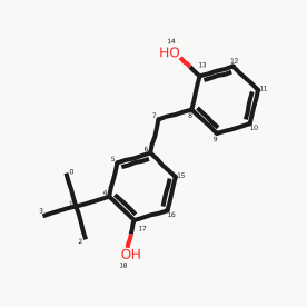 CC(C)(C)c1cc(Cc2ccccc2O)ccc1O